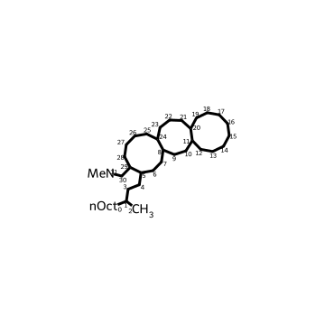 CCCCCCCCC(C)CCC1CCC2CCC3CCCCCCCCC3CCCC2CCCCC1CNC